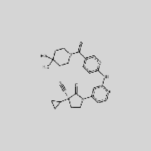 CC1(O)CCN(C(=O)c2ccc(Nc3cc(N4CC[C@@](C#N)(C5CC5)C4=O)ccn3)nc2)CC1